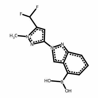 Cn1nc(-n2cc3c(B(O)O)cccc3n2)cc1C(F)F